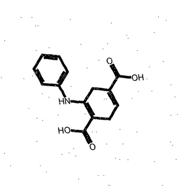 O=C(O)C1=CCC(C(=O)O)=C(Nc2ccccc2)C1